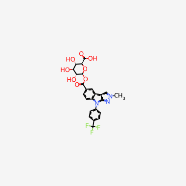 Cn1cc2c3cc(C(=O)O[C@@H]4O[C@H](C(=O)O)[C@@H](O)[C@H](O)[C@H]4O)ccc3n(-c3ccc(C(F)(F)F)cc3)c2n1